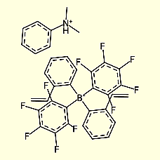 C=Cc1ccccc1[B-](c1ccccc1C=C)(c1c(F)c(F)c(F)c(F)c1F)c1c(F)c(F)c(F)c(F)c1F.C[NH+](C)c1ccccc1